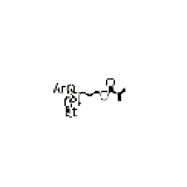 C=C(C)C(=O)OCCC[Si](C)(OCC)OC(C)=O